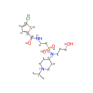 CC(C)N1CCC(N(CCCO)S(=O)(=O)CCNC(=O)c2ccc(Cl)s2)CC1